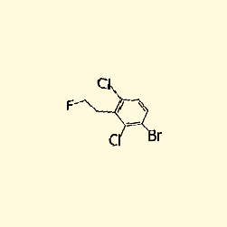 FCCc1c(Cl)ccc(Br)c1Cl